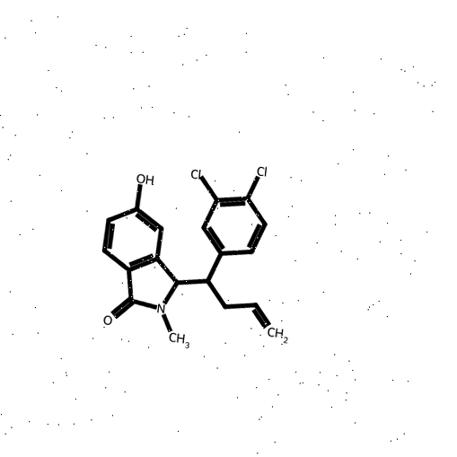 C=CCC(c1ccc(Cl)c(Cl)c1)C1c2cc(O)ccc2C(=O)N1C